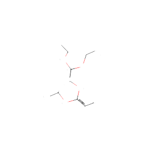 C/C=C(/OCC)O[SiH2]C(OCC)OCC